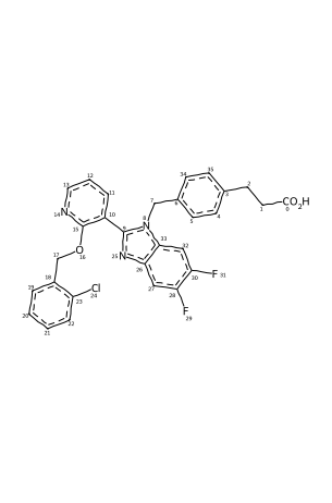 O=C(O)CCc1ccc(Cn2c(-c3cccnc3OCc3ccccc3Cl)nc3cc(F)c(F)cc32)cc1